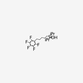 CC(C)[Si](O)(CCCCCc1c(F)c(F)c(F)c(F)c1F)C(C)C